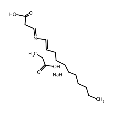 CCC(=O)O.CCCCCCCCCC=CN=CCC(=O)O.[NaH]